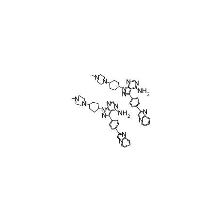 CN1CCN(C2CCC(n3nc(-c4ccc(-c5cn6ccccc6n5)cc4)c4c(N)ncnc43)CC2)CC1.CN1CCN(C2CCC(n3nc(-c4ccc(-c5cn6ccccc6n5)cc4)c4c(N)ncnc43)CC2)CC1